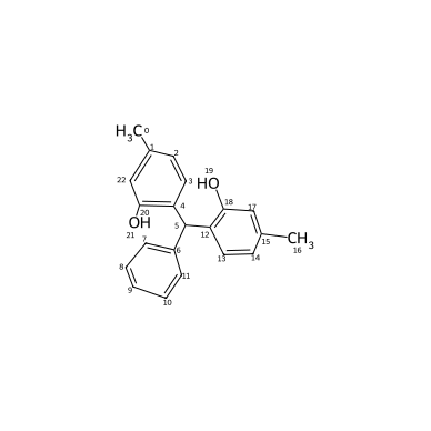 Cc1ccc(C(c2ccccc2)c2ccc(C)cc2O)c(O)c1